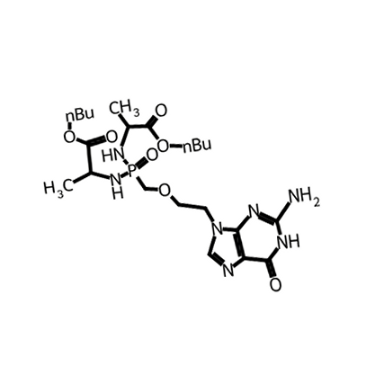 CCCCOC(=O)C(C)NP(=O)(COCCn1cnc2c(=O)[nH]c(N)nc21)NC(C)C(=O)OCCCC